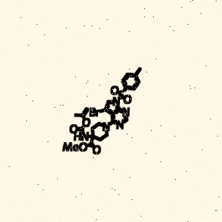 C=C(C)OC(=O)NC1(C(=O)OC)CCN(c2ncnc3c2c(Br)cn3S(=O)(=O)c2ccc(C)cc2)CC1